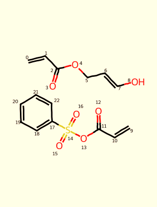 C=CC(=O)OCC=CO.C=CC(=O)OS(=O)(=O)c1ccccc1